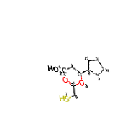 O=C(O)CC(OC(=O)CS)C1CCCC1